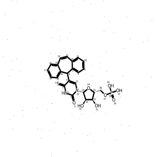 O=c1[nH]c(=S)c(C2c3ccccc3C=Cc3ccccc32)cn1[C@@H]1O[C@H](COP(=O)(O)O)[C@@H](O)[C@H]1O